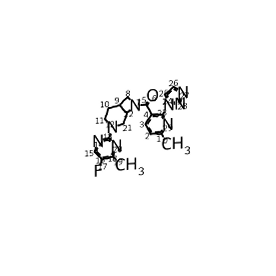 Cc1ccc(C(=O)N2CC3CCN(c4ncc(F)c(C)n4)CC32)c(-n2ccnn2)n1